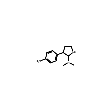 CN(C)C1NCCC1c1ccc(N)cc1